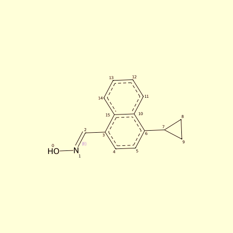 O/N=C/c1ccc(C2CC2)c2ccccc12